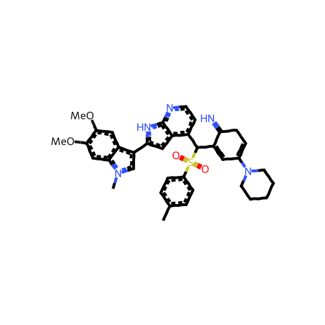 COc1cc2c(-c3cc4c(C(C5=CC(N6CCCCC6)=CCC5=N)S(=O)(=O)c5ccc(C)cc5)ccnc4[nH]3)cn(C)c2cc1OC